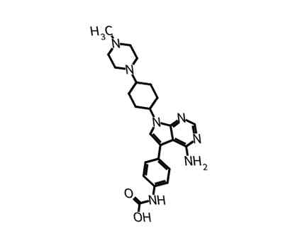 CN1CCN(C2CCC(n3cc(-c4ccc(NC(=O)O)cc4)c4c(N)ncnc43)CC2)CC1